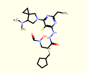 CCc1nc(NNC(=O)[C@H](CC2CCCC2)CN(O)C=O)c(F)c(N2CC(N(C)C)C3(CC3)C2)n1